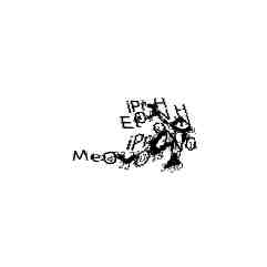 CCOC[C@@H](CC(C)C)NC(=O)[C@@H]1CNCC(C(=O)N(c2cc(OCCCOC)c(C(C)C)cn2)C2CC2)C1